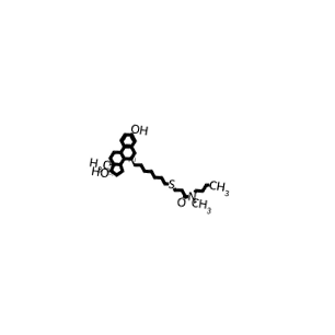 CCCCN(C)C(=O)CCSCCCCCCC[C@@H]1Cc2cc(O)ccc2C2CC[C@@]3(C)C(CC[C@@H]3O)C21